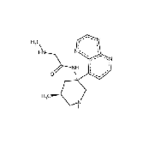 CNCC(=O)N[C@]1(c2ccnc3nccnc23)CNC[C@@H](C)C1